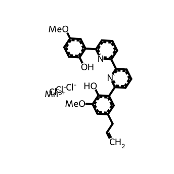 C=CCc1cc(OC)c(O)c(-c2cccc(-c3cccc(-c4cc(OC)ccc4O)n3)n2)c1.[Cl-].[Cl-].[Cl-].[Mn+3]